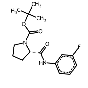 CC(C)(C)OC(=O)N1CCC[C@H]1C(=O)Nc1cccc(F)c1